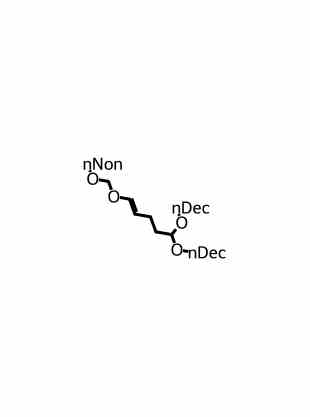 CCCCCCCCCCOC(CCC=COCOCCCCCCCCC)OCCCCCCCCCC